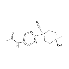 CC(=O)Nc1ccc([C@]2(C#N)CC[C@](C)(O)CC2)nc1